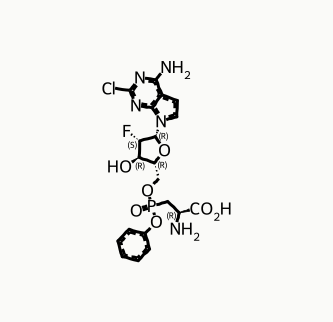 Nc1nc(Cl)nc2c1ccn2[C@@H]1O[C@H](COP(=O)(C[C@H](N)C(=O)O)Oc2ccccc2)[C@@H](O)[C@@H]1F